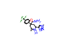 C[C@H]1C[C@@](C(N)=O)(c2ccc(C(F)(F)F)cc2)C[C@@H](c2cn(C)nn2)N1